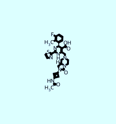 CC(=O)NC12CC(N3C[C@@H]4CN(CC5=C(C(=O)O)[C@H](c6cccc(F)c6C)N=C(c6nccs6)N5)CCN4C3=O)(C1)C2